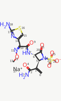 C=C(C(N)=O)[C@H]1[C@H](NC(=O)/C(=N\OC)c2csc(N)n2)C(=O)N1S(=O)(=O)[O-].[Na+]